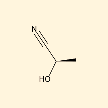 C[C@@H](O)C#N